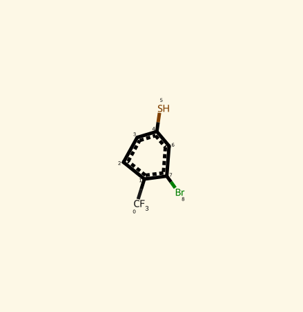 FC(F)(F)c1ccc(S)cc1Br